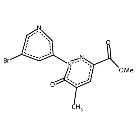 COC(=O)c1cc(C)c(=O)n(-c2cncc(Br)c2)n1